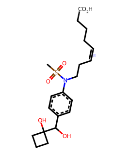 CS(=O)(=O)N(CC/C=C\CCCC(=O)O)c1ccc(C(O)C2(O)CCC2)cc1